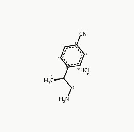 C[C@H](CN)c1ccc(C#N)cc1.Cl